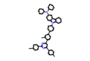 Cc1ccc(-c2cc(-c3ccc(-c4ccc(-n5c6ccccc6c6cc(N(c7ccccc7)c7ccccc7)ccc65)cc4)cc3C)nc(-c3ccc(C)cc3)n2)cc1